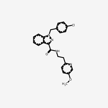 COc1ccc(CCNC(=O)c2nn(Cc3ccc(Cl)cc3)c3ccccc23)nc1